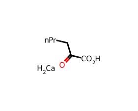 CCCCC(=O)C(=O)O.[CaH2]